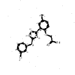 Bc1ccc(OCC(=O)O)c(-c2nc(Cc3cccc(Cl)c3)no2)c1